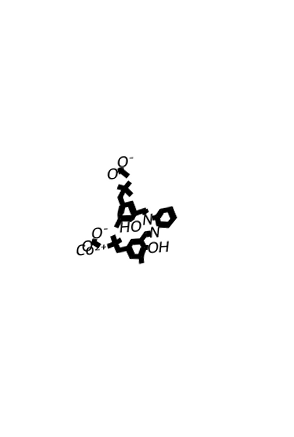 CC(=O)[O-].CC(=O)[O-].Cc1cc(CC(C)(C)C)cc(C=Nc2ccccc2N=Cc2cc(CC(C)(C)C)cc(C)c2O)c1O.[Co+2]